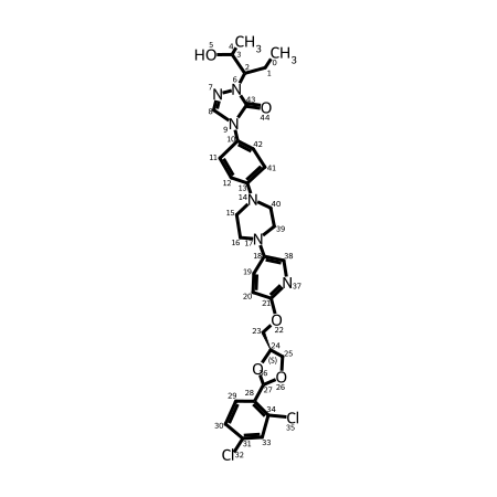 CCC(C(C)O)n1ncn(-c2ccc(N3CCN(c4ccc(OC[C@H]5COC(c6ccc(Cl)cc6Cl)O5)nc4)CC3)cc2)c1=O